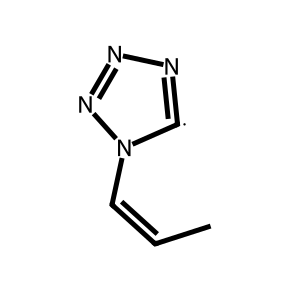 C/C=C\n1[c]nnn1